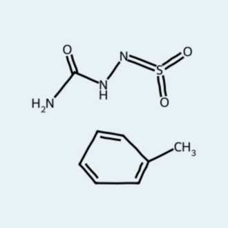 Cc1ccccc1.NC(=O)NN=S(=O)=O